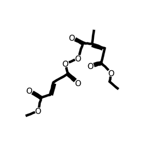 CCOC(=O)C=C(C)C(=O)OOC(=O)C=CC(=O)OC